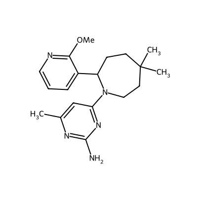 COc1ncccc1C1CCC(C)(C)CCN1c1cc(C)nc(N)n1